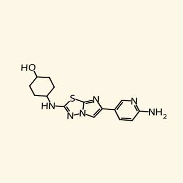 Nc1ccc(-c2cn3nc(NC4CCC(O)CC4)sc3n2)cn1